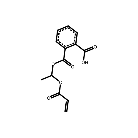 C=CC(=O)OC(C)OC(=O)c1ccccc1C(=O)O